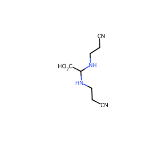 N#CCCNC(NCCC#N)C(=O)O